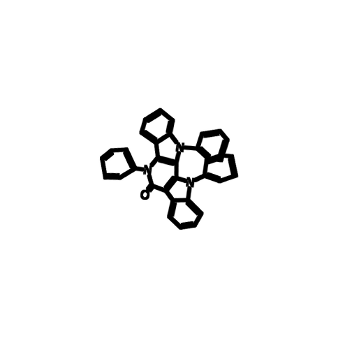 O=c1c2c3ccccc3n(-c3ccccc3)c2c2c(c3ccccc3n2-c2ccccc2)n1-c1ccccc1